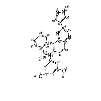 COc1cc(OC)cc(N(c2ccc3ncc(-c4cnn(C)c4)nc3c2)[C@H](C)c2ncccn2)c1